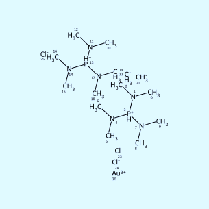 CN(C)[PH+](N(C)C)N(C)C.CN(C)[PH+](N(C)C)N(C)C.[Au+3].[CH3-].[CH3-].[Cl-].[Cl-].[Cl-]